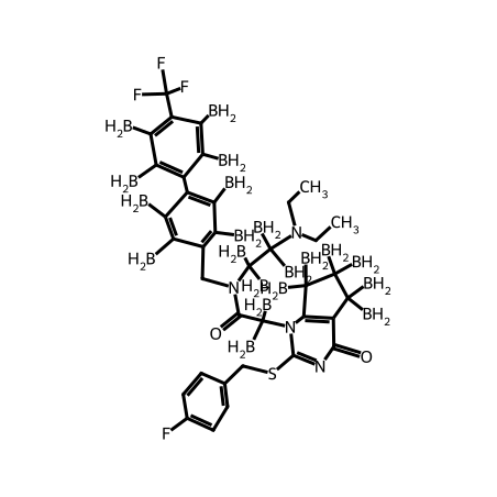 Bc1c(B)c(-c2c(B)c(B)c(C(F)(F)F)c(B)c2B)c(B)c(B)c1CN(C(=O)C(B)(B)n1c(SCc2ccc(F)cc2)nc(=O)c2c1C(B)(B)C(B)(B)C2(B)B)C(B)(B)C(B)(B)N(CC)CC